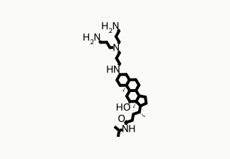 CC(C)NC(=O)CC[C@@H](C)C1CCC2C3CCC4C[C@@H](NCCCN(CCCN)CCCN)CC[C@]4(C)C3C[C@H](O)[C@@]21C